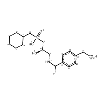 CC(NC[C@@H](O)CP(=O)(O)CC1CCCCC1)c1ccc(CC(=O)O)cc1